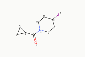 O=C(C1CC1)N1CCC(I)CC1